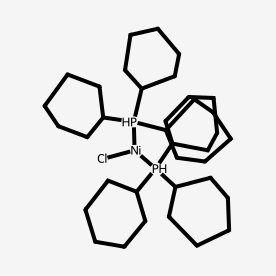 [Cl][Ni]([PH](C1CCCCC1)(C1CCCCC1)C1CCCCC1)[PH](C1CCCCC1)(C1CCCCC1)C1CCCCC1